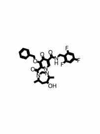 CC1CC(O)C(C)N2CN1C(=O)c1c(OCc3ccccc3)c(=O)c(C(=O)NCc3c(F)cc(F)cc3F)cn12